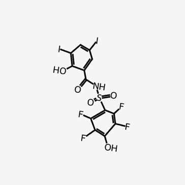 O=C(NS(=O)(=O)c1c(F)c(F)c(O)c(F)c1F)c1cc(I)cc(I)c1O